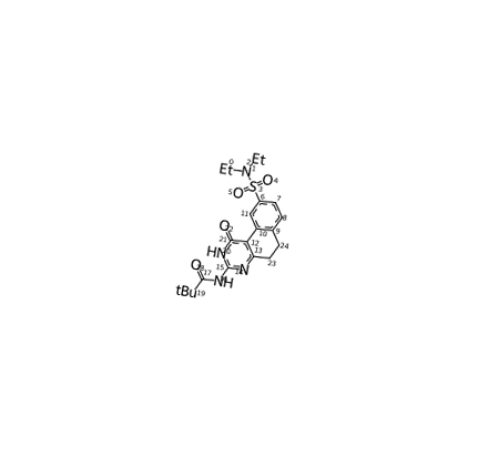 CCN(CC)S(=O)(=O)c1ccc2c(c1)-c1c(nc(NC(=O)C(C)(C)C)[nH]c1=O)CC2